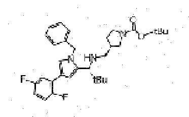 CC(C)(C)OC(=O)N1CC[C@H](CN[C@@H](c2cc(-c3cc(F)ccc3F)cn2Cc2ccccc2)C(C)(C)C)C1